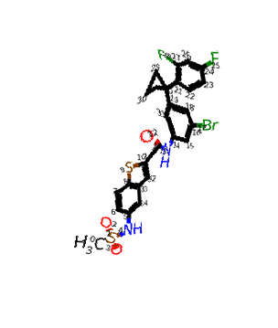 CS(=O)(=O)Nc1ccc2sc(C(=O)Nc3cc(Br)cc(C4(c5ccc(F)cc5F)CC4)c3)cc2c1